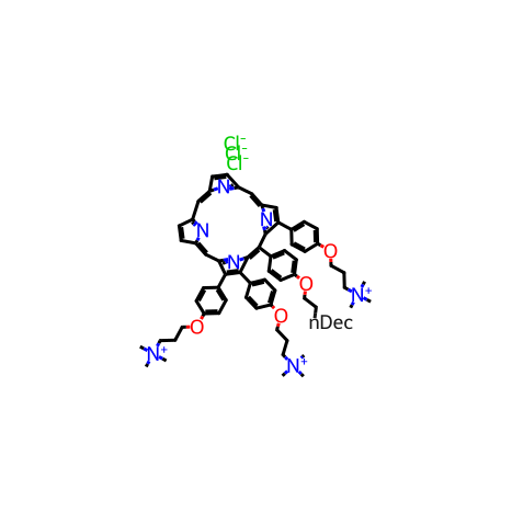 CCCCCCCCCCCCOc1ccc(C2=C3N=C(C=C4C=CC(=N4)C=C4C=CC(=N4)C=C4C=C(c5ccc(OCCC[N+](C)(C)C)cc5)C2=N4)C(c2ccc(OCCC[N+](C)(C)C)cc2)=C3c2ccc(OCCC[N+](C)(C)C)cc2)cc1.[Cl-].[Cl-].[Cl-]